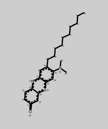 CCCCCCCCCCc1cc2nc3ccc(=O)cc-3sc2cc1N(C)C